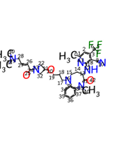 Cc1cc(C(F)(F)F)c(C#N)c(NC2CCN(CCCOC3CN(C(=O)/C=C/CN(C)C)C3)c3ccccc3N(C)C2=O)n1